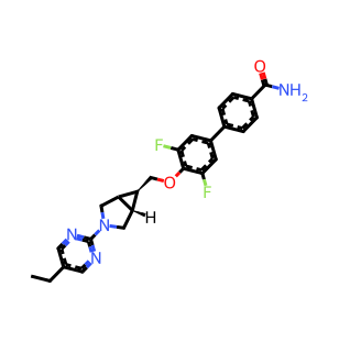 CCc1cnc(N2CC3[C@@H](COc4c(F)cc(-c5ccc(C(N)=O)cc5)cc4F)[C@@H]3C2)nc1